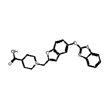 O=C(O)C1CCN(Cc2cc3cc(Oc4nc5ccccc5s4)ccc3o2)CC1